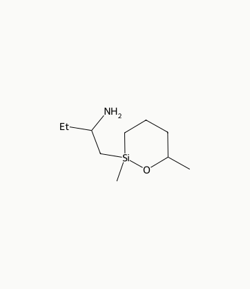 CCC(N)C[Si]1(C)CCCC(C)O1